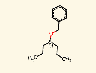 CCC[SiH](CCC)OCc1ccccc1